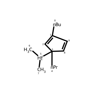 CCCCC1=C[C](CCC)([Hf]([CH3])[CH3])C=C1